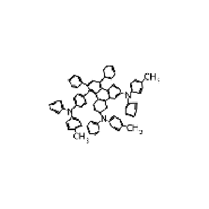 Cc1ccc(N(c2ccccc2)c2ccc(-c3c(-c4ccccc4)cc(C4=CC=CCC4)c4c3c3c(c5cc(N(c6ccccc6)c6ccc(C)cc6)ccc54)CC(N(c4ccccc4)c4ccc(C)cc4)C=C3)cc2)cc1